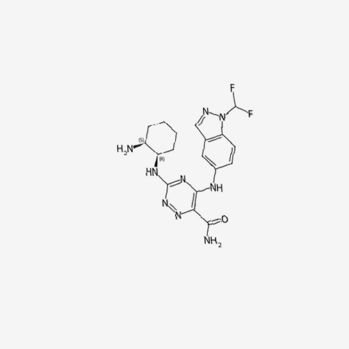 NC(=O)c1nnc(N[C@@H]2CCCC[C@@H]2N)nc1Nc1ccc2c(cnn2C(F)F)c1